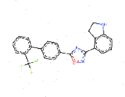 FC(F)(F)c1ccccc1-c1ccc(-c2nc(-c3cccc4c3CCN4)no2)cc1